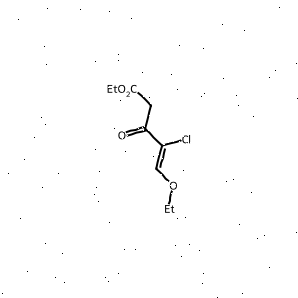 CCO/C=C(\Cl)C(=O)CC(=O)OCC